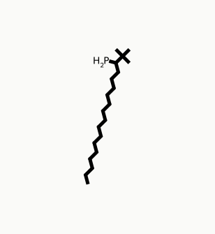 CCCCCCCCCCCCCCCC(P)C(C)(C)C